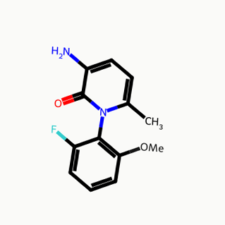 COc1cccc(F)c1-n1c(C)ccc(N)c1=O